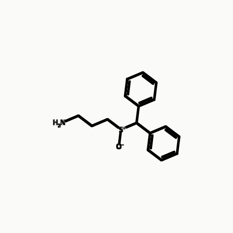 NCCC[S+]([O-])C(c1ccccc1)c1ccccc1